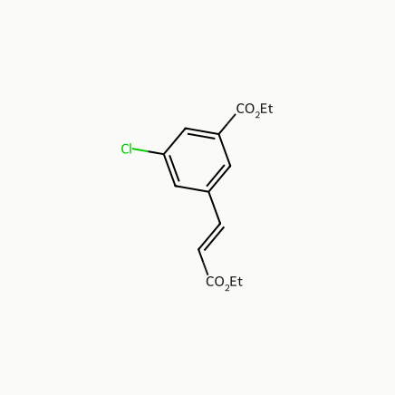 CCOC(=O)C=Cc1cc(Cl)cc(C(=O)OCC)c1